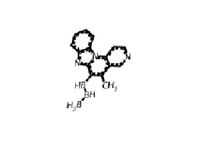 BBBc1c(C)c2cnccc2n2c1nc1ccccc12